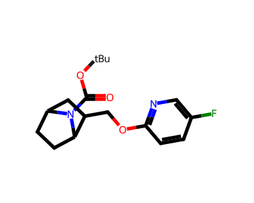 CC(C)(C)OC(=O)N1C2CCC1C(COc1ccc(F)cn1)C2